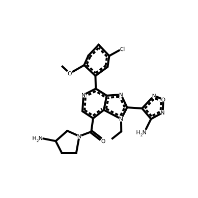 CCn1c(-c2nonc2N)nc2c(-c3cc(Cl)ccc3OC)ncc(C(=O)N3CCC(N)C3)c21